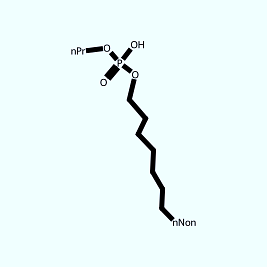 CCCCCCCCCCCCCCCCOP(=O)(O)OCCC